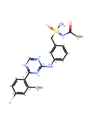 CNC(=O)N=S(C)(=O)Cc1cccc(Nc2ncnc(-c3ccc(F)cc3OC)n2)c1